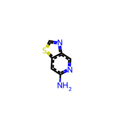 Nc1cc2scnc2cn1